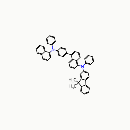 CC1(C)c2ccccc2-c2ccc(N(c3ccccc3)c3cccc4c(-c5ccc(N(c6ccccc6)c6cccc7ccccc67)cc5)cccc34)cc21